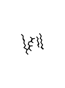 C=CCCCCCC.CC=CCCC.CCC=CCCCC(CC)C(C)=C(C)CCC(C)=C(C)C